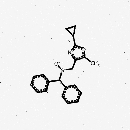 Cc1sc(C2CC2)nc1C[S+]([O-])C(c1ccccc1)c1ccccc1